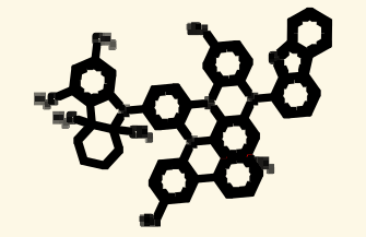 Cc1cc2c3c(c1)N(c1cccc4c1oc1ccccc14)c1ccc(C(C)(C)C)cc1B3c1ccc(N3c4cc(C)cc(C)c4C4(C)CCCCC34C)cc1N2c1ccc(C(C)(C)C)cc1-c1ccccc1